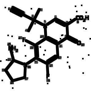 C#CC(C)(C)n1cc(C(=O)O)c(=O)c2cc(F)c(N3CCCC3N)c(F)c21